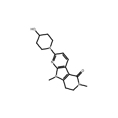 CN1CCc2c(c3ccc(N4CCC(O)CC4)nc3n2C)C1=O